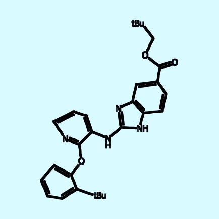 CC(C)(C)COC(=O)c1ccc2[nH]c(Nc3cccnc3Oc3ccccc3C(C)(C)C)nc2c1